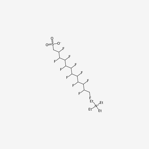 CC[N+](CC)(CC)CC.O=S(=O)([O-])CC(F)C(F)C(F)C(F)C(F)C(F)C(F)C(F)C(F)C(F)CF